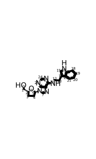 OC[C@@H]1CC[C@H](n2cnc3c(NCCc4c[nH]c5ccccc45)ncnc32)O1